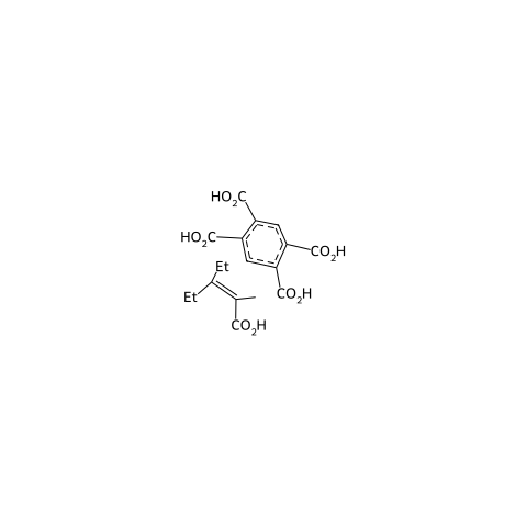 CCC(CC)=C(C)C(=O)O.O=C(O)c1cc(C(=O)O)c(C(=O)O)cc1C(=O)O